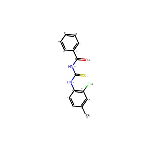 CCC(C)c1ccc(NC(=S)NC(=O)c2ccccc2)c(Cl)c1